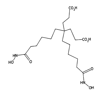 O=C(O)CCC(CCCCCC(=O)NO)(CCCCCC(=O)NO)CCC(=O)O